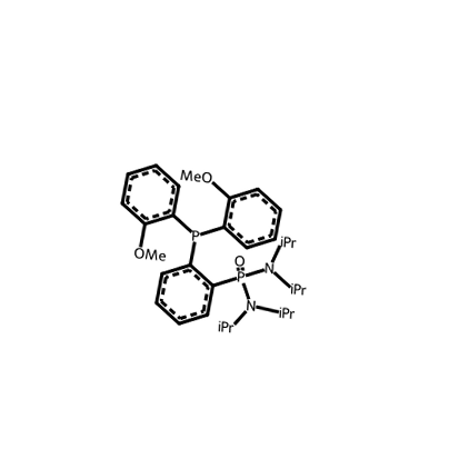 COc1ccccc1P(c1ccccc1OC)c1ccccc1P(=O)(N(C(C)C)C(C)C)N(C(C)C)C(C)C